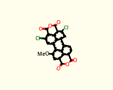 COc1cc2c3c(ccc4c5cc(Cl)c6c7c(c(Cl)cc(c1c34)c75)C(=O)OC6=O)C(=O)OC2=O